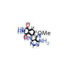 CON=Cc1c(N)ncnc1Nc1cccc2c(=O)[nH][nH]c(=O)c12